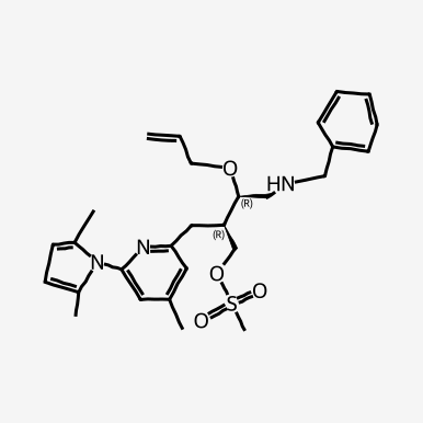 C=CCO[C@@H](CNCc1ccccc1)[C@@H](COS(C)(=O)=O)Cc1cc(C)cc(-n2c(C)ccc2C)n1